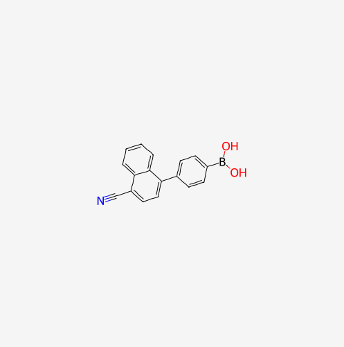 N#Cc1ccc(-c2ccc(B(O)O)cc2)c2ccccc12